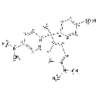 CN(C)c1ccc(C(C#N)(c2ccc(N(C)C)cc2)c2ccc(S(=O)(=O)O)cc2)cc1